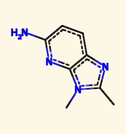 Cc1nc2ccc(N)nc2n1C